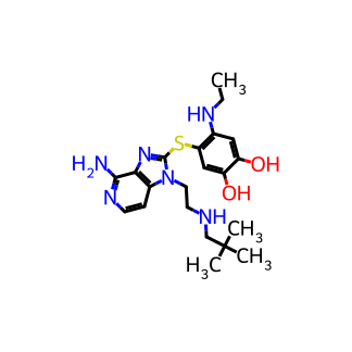 CCNc1cc(O)c(O)cc1Sc1nc2c(N)nccc2n1CCNCC(C)(C)C